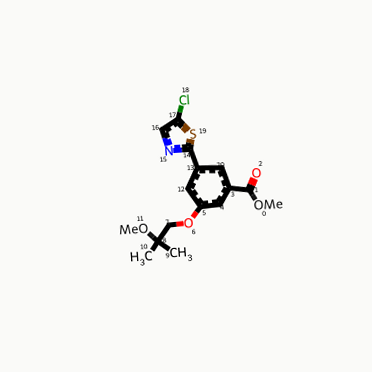 COC(=O)c1cc(OCC(C)(C)OC)cc(-c2ncc(Cl)s2)c1